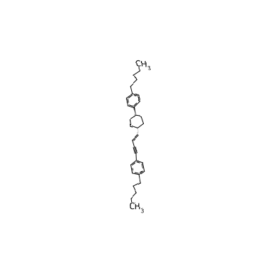 CCCCCc1ccc(C#CC=C[C@H]2CC[C@H](c3ccc(CCCCC)cc3)CC2)cc1